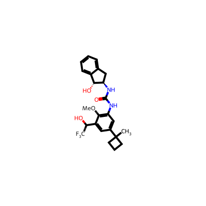 COc1c(NC(=O)N[C@@H]2Cc3ccccc3[C@H]2O)cc(C2(C)CCC2)cc1C(O)C(F)(F)F